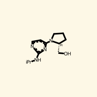 CC(C)Nc1nccc(N2CCC[C@@H]2CO)n1